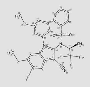 CCc1cc2c(cc1F)c(C#N)c(N([C@@H](C)C(F)(F)F)S(=O)(=O)c1cccnc1)n2-c1cccc(OC)c1